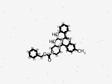 Cc1ccc2c(c1)N=C(c1ccccc1O)N(CO)C2N1CCN(C(=O)OCc2ccccc2)CC1